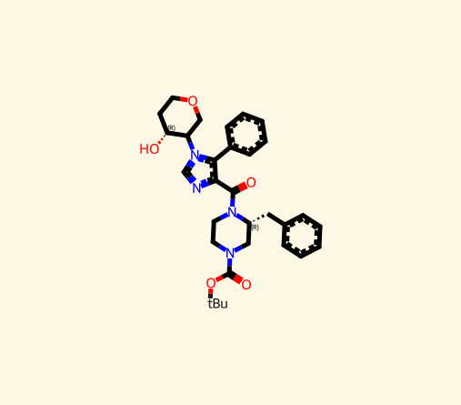 CC(C)(C)OC(=O)N1CCN(C(=O)c2ncn(C3COCC[C@H]3O)c2-c2ccccc2)[C@H](Cc2ccccc2)C1